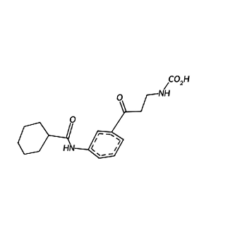 O=C(O)NCCC(=O)c1cccc(NC(=O)C2CCCCC2)c1